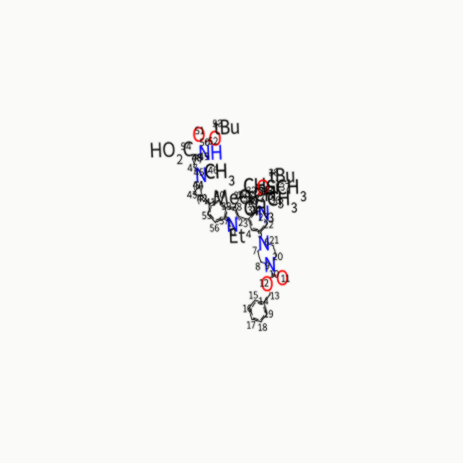 CCn1c(-c2cc(N3CCN(C(=O)OCc4ccccc4)CC3)cnc2[C@@H](C)OC)c(CC(C)(C)CO[Si](C)(C)C(C)(C)C)c2cc([C@H]3C[C@@H]3N(C)C[C@@H](NC(=O)OC(C)(C)C)C(=O)O)ccc21